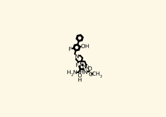 COC(=O)Nc1nn(C2(CC#N)CCN(Cc3cc(O)c(-c4ccccc4)cc3F)CC2F)cc1C(N)O